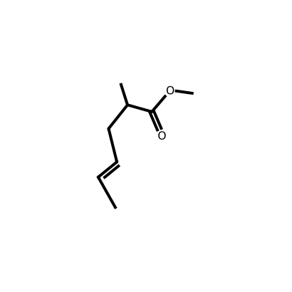 CC=CCC(C)C(=O)OC